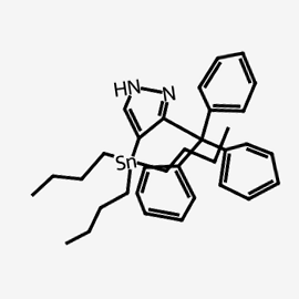 CCC[CH2][Sn]([CH2]CCC)([CH2]CCC)[c]1c[nH]nc1C(c1ccccc1)(c1ccccc1)c1ccccc1